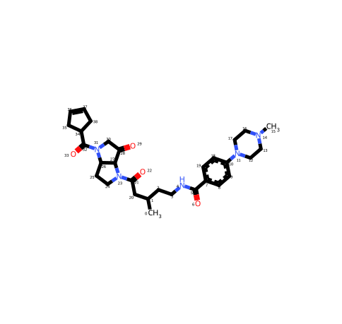 CC(CCNC(=O)c1ccc(N2CCN(C)CC2)cc1)CC(=O)N1CCC2C1C(=O)CN2C(=O)C1CC=CC1